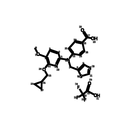 COc1ccc(N(Cc2cncs2)c2ccc(C(=O)O)cc2)nc1OCC1CC1.O=C(O)C(F)(F)F